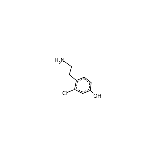 NCCc1ccc(O)cc1Cl